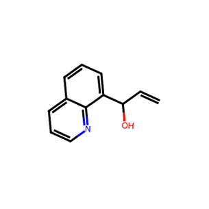 C=CC(O)c1cccc2cccnc12